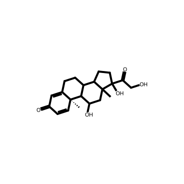 CC12CC(O)C3C(CCC4=CC(=O)C=C[C@@]43C)C1CCC2(O)C(=O)CO